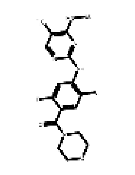 CCNc1nc(Nc2cc(F)c(C(=O)N3CCOCC3)cc2Cl)ncc1C(F)(F)F